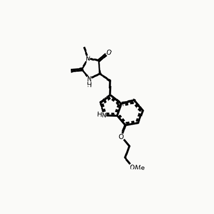 C=C1NC(Cc2c[nH]c3c(OCCOC)cccc23)C(=O)N1C